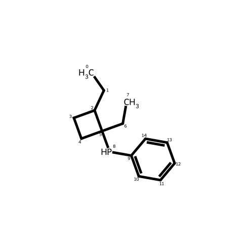 CCC1CCC1(CC)Pc1ccccc1